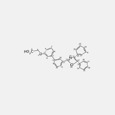 O=C(O)COc1cccc(-c2cccc(-c3nc(-c4ccccc4)c(-c4ccccc4)o3)c2)c1